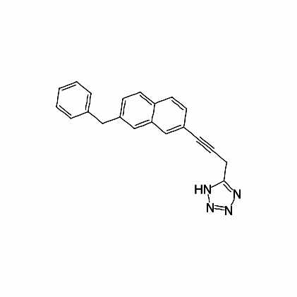 C(#Cc1ccc2ccc(Cc3ccccc3)cc2c1)Cc1nnn[nH]1